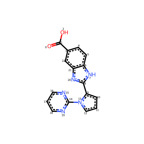 O=C(O)c1ccc2[nH]c(-c3cccn3-c3ncccn3)nc2c1